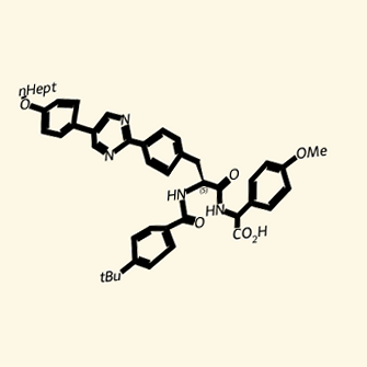 CCCCCCCOc1ccc(-c2cnc(-c3ccc(C[C@H](NC(=O)c4ccc(C(C)(C)C)cc4)C(=O)NC(C(=O)O)c4ccc(OC)cc4)cc3)nc2)cc1